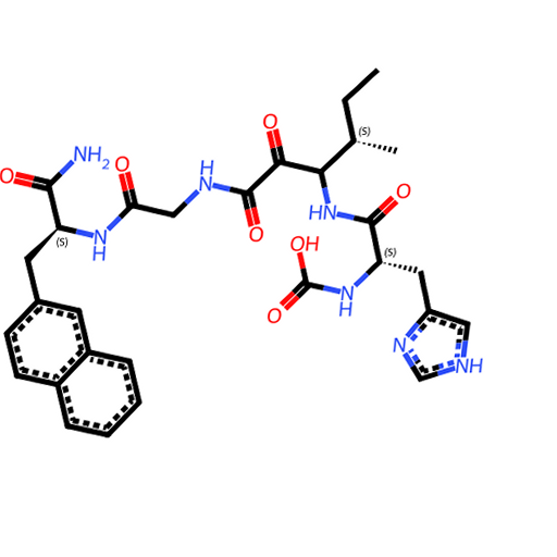 CC[C@H](C)C(NC(=O)[C@H](Cc1c[nH]cn1)NC(=O)O)C(=O)C(=O)NCC(=O)N[C@@H](Cc1ccc2ccccc2c1)C(N)=O